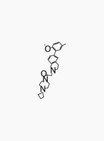 COc1ccc(C)cc1-c1ccc2c(c1)CCN(CC(=O)N1CCN(C3CCC3)CC1)C2